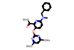 COC(=O)c1nc(N(C)Cc2ccccc2)ccc1Oc1nc(OC)cc(OC)n1